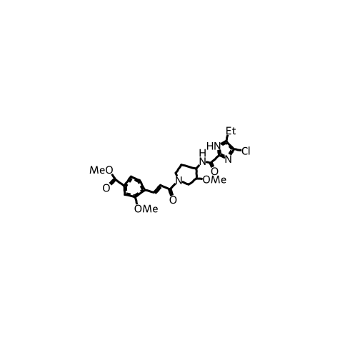 CCc1[nH]c(C(=O)NC2CCN(C(=O)C=Cc3ccc(C(=O)OC)cc3OC)CC2OC)nc1Cl